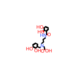 O=C(O)CN(CCCCNC(=O)c1cccc(O)c1O)Cc1cccc(O)c1O